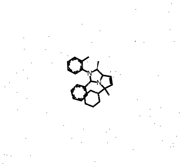 Cc1ccccc1N1C(c2ccccc2)N2C(C=CC2(C)C2CCCCC2)[C@@H]1C